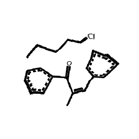 CC(=Cc1ccccc1)C(=O)c1ccccc1.CCCCCCl